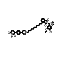 CCOc1cc([C@@H](CS(C)(=O)=O)N2C(=O)c3cccc(CCCCCCCCCCCN4CCC(c5ccc(C6CCC(=O)NC6=O)cc5)CC4)c3C2=O)ccc1OC